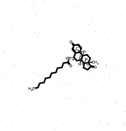 CCCCCCCCCCCC(=O)N[C@H]1C[C@@H]2[C@H](CC[C@]3(C)C(=O)CC[C@@H]23)[C@@]2(C)C=CC(=O)C=C12